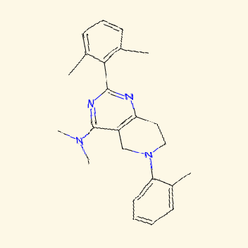 Cc1ccccc1N1CCc2nc(-c3c(C)cccc3C)nc(N(C)C)c2C1